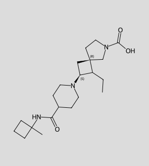 CCC1[C@@H](N2CCC(C(=O)NC3(C)CCC3)CC2)C[C@]12CCN(C(=O)O)C2